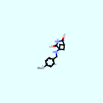 COc1ccc(CNC23CC(C2)C(=O)NC3=O)cc1